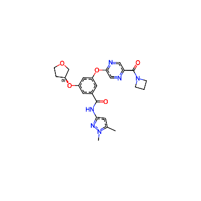 Cc1cc(NC(=O)c2cc(Oc3cnc(C(=O)N4CCC4)cn3)cc(O[C@H]3CCOC3)c2)nn1C